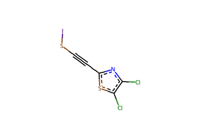 Clc1nc(C#CSI)sc1Cl